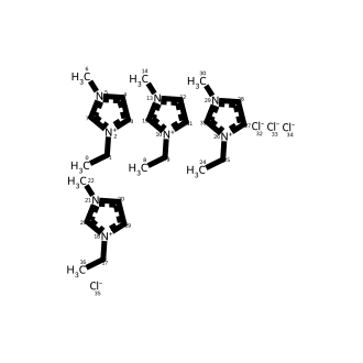 CC[n+]1ccn(C)c1.CC[n+]1ccn(C)c1.CC[n+]1ccn(C)c1.CC[n+]1ccn(C)c1.[Cl-].[Cl-].[Cl-].[Cl-]